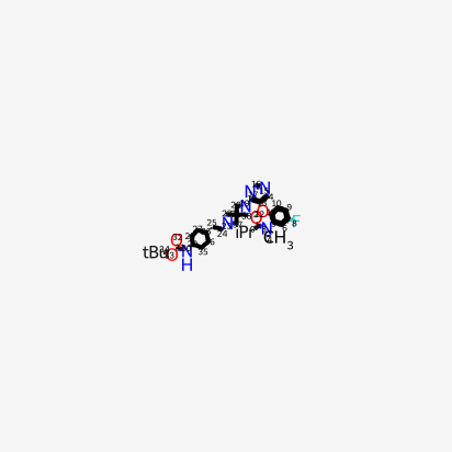 CC(C)C(=O)N(C)c1cc(F)ccc1Oc1cncnc1N1CC2(CN(CC[C@H]3CC[C@H](NC(=O)OC(C)(C)C)CC3)C2)C1